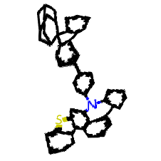 c1ccc(-c2ccccc2N(c2ccc(-c3ccc4c(c3)-c3ccccc3C43C4CC5CC(C4)CC3C5)cc2)c2ccc3c(c2)sc2ccccc23)cc1